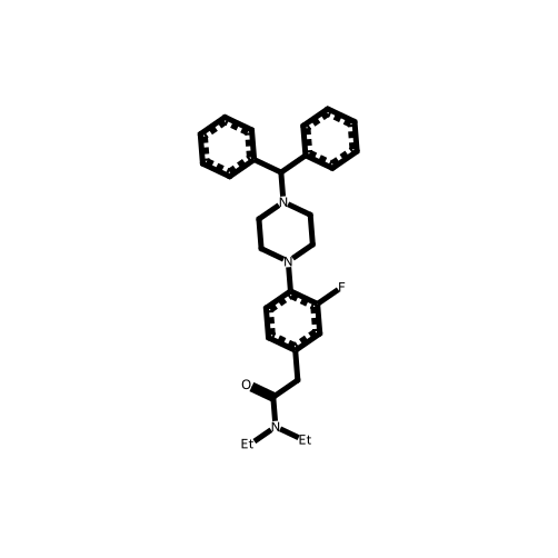 CCN(CC)C(=O)Cc1ccc(N2CCN(C(c3ccccc3)c3ccccc3)CC2)c(F)c1